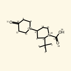 CC(C)(C)C1CC(N2CCC(=O)CC2)CCN1C(=O)O